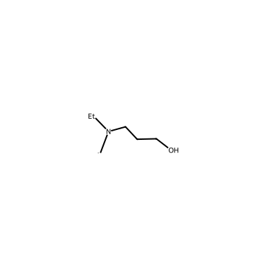 [CH2]N(CC)CCCO